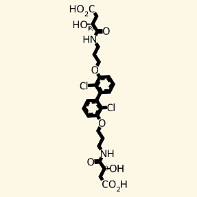 O=C(O)C[C@@H](O)C(=O)NCCCOc1cccc(-c2cccc(OCCCNC(=O)[C@H](O)CC(=O)O)c2Cl)c1Cl